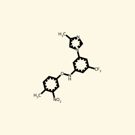 Cc1cn(-c2cc(NOc3ccc(C)c([N+](=O)[O-])c3)cc(C(F)(F)F)c2)cn1